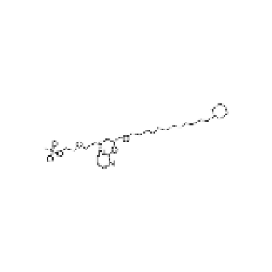 CS(=O)(=O)OCCOCCSCC(COCCCCCCCCCCCCC1CCCCC1)Oc1ncccn1